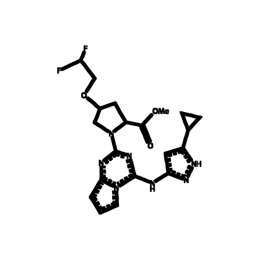 COC(=O)C1CC(OCC(F)F)CN1c1nc(Nc2cc(C3CC3)[nH]n2)n2cccc2n1